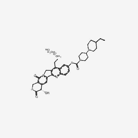 CCc1c2c(nc3ccc(OC(=O)N4CCC(N5CCC(CC)CC5)CC4)cc13)-c1cc3c(c(=O)n1C2)COC(=O)[C@H]3O.Cl.O.O.O